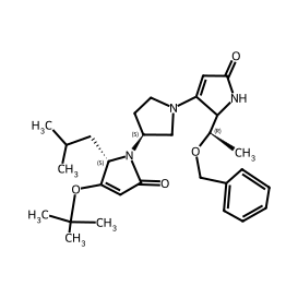 CC(C)C[C@H]1C(OC(C)(C)C)=CC(=O)N1[C@H]1CCN(C2=CC(=O)NC2[C@@H](C)OCc2ccccc2)C1